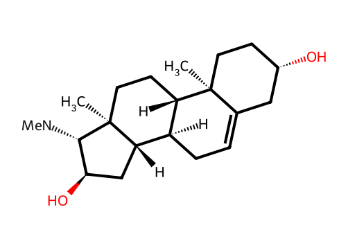 CN[C@H]1[C@H](O)C[C@H]2[C@@H]3CC=C4C[C@@H](O)CC[C@]4(C)[C@H]3CC[C@@]21C